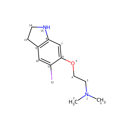 CN(C)CCOc1cc2c(cc1I)CCN2